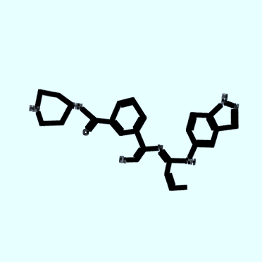 C\C=C/C(=N\C(=C\CC)c1cccc(C(=O)NC2CCNCC2)c1)Nc1ccc2[nH]ncc2c1